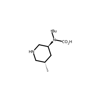 C[C@@H]1CNC[C@@H](N(C(=O)O)C(C)(C)C)C1